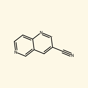 N#Cc1[c]nc2ccncc2c1